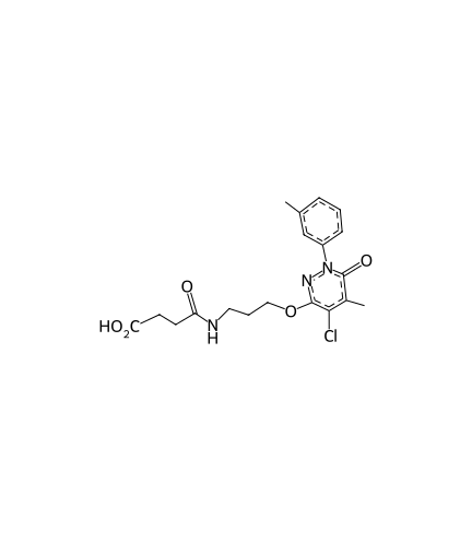 Cc1cccc(-n2nc(OCCCNC(=O)CCC(=O)O)c(Cl)c(C)c2=O)c1